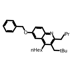 CCCCCCc1c(CC(C)(C)C)c(CC(C)C)nc2ccc(OCc3ccccc3)cc12